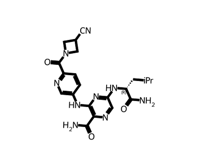 CC(C)C[C@@H](Nc1cnc(C(N)=O)c(Nc2ccc(C(=O)N3CC(C#N)C3)nc2)n1)C(N)=O